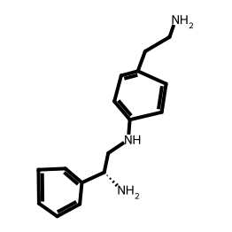 NCCc1ccc(NC[C@H](N)c2ccccc2)cc1